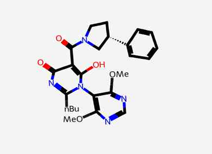 CCCCc1nc(=O)c(C(=O)N2CC[C@H](c3ccccc3)C2)c(O)n1-c1c(OC)ncnc1OC